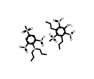 CCCN(CCC)c1c([N+](=O)[O-])cc(S(C)(=O)=O)cc1[N+](=O)[O-].CCCc1c([N+](=O)[O-])c(N)c([N+](=O)[O-])c(CCC)c1S(C)(=O)=O